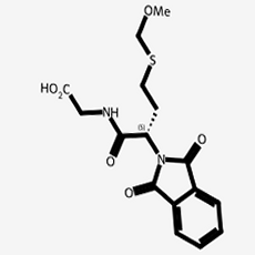 COCSCC[C@@H](C(=O)NCC(=O)O)N1C(=O)c2ccccc2C1=O